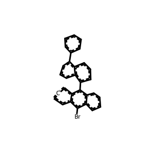 Brc1c2ccccc2c(-c2cccc3c(-c4ccccc4)cccc23)c2ccccc12